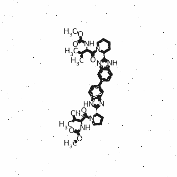 COC(=O)N[C@H](C(=O)N1CCCC[C@H]1c1nc2cc(-c3ccc4[nH]c([C@@H]5CCCN5C(=O)[C@@H](NC(=O)OC)C(C)C)nc4c3)ccc2[nH]1)C(C)C